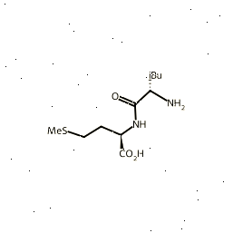 CCC(C)[C@H](N)C(=O)N[C@H](CCSC)C(=O)O